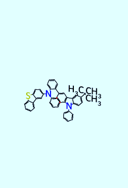 CC(C)(C)c1ccc2c(c1)c1cc(-c3ccccc3N(c3ccccc3)c3ccc4sc5ccccc5c4c3)ccc1n2-c1ccccc1